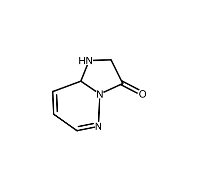 O=C1CNC2C=CC=NN12